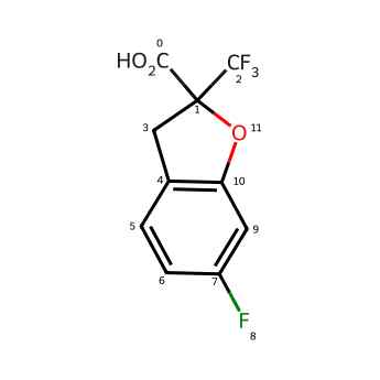 O=C(O)C1(C(F)(F)F)Cc2ccc(F)cc2O1